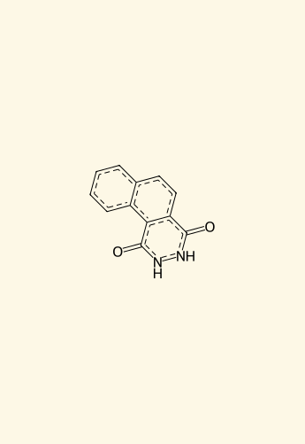 O=c1[nH][nH]c(=O)c2c1ccc1ccccc12